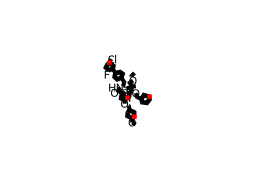 CCOCC(C)(C[C@@H](Cc1ccc(-c2cc(Cl)ccc2F)cc1)NC(=O)c1cc(OCc2ccc(OC)cc2)no1)C(=O)OCc1ccccc1